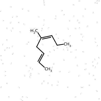 [CH2]C(=CCC)CC=CC